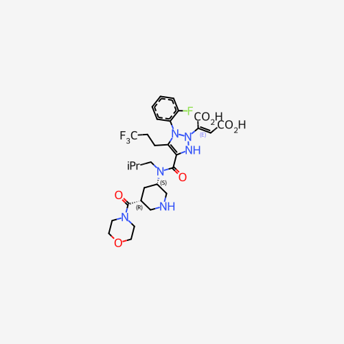 CC(C)CN(C(=O)C1=C(CCC(F)(F)F)N(c2ccccc2F)N(/C(=C/C(=O)O)C(=O)O)N1)[C@@H]1CNC[C@H](C(=O)N2CCOCC2)C1